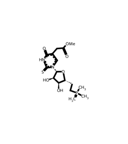 C=P(C)(C)CC[C@H]1O[C@@H](n2cc(CC(=O)OC)c(=O)[nH]c2=S)[C@H](O)[C@@H]1O